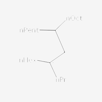 CCCCCCCCC(CCCCC)CC(CCC)CCCCCC